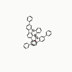 c1ccc(-c2ccc3c4ccc(-c5ccccc5)cc4n(B4c5ccccc5-n5c6cc(-c7ccccc7)ccc6c6ccc(-c7ccccc7)c4c65)c3c2)cc1